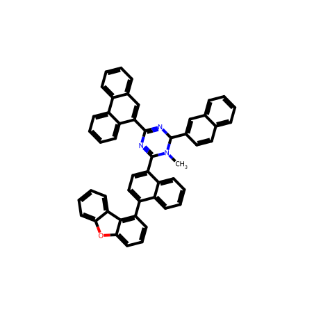 CN1C(c2ccc(-c3cccc4oc5ccccc5c34)c3ccccc23)=NC(c2cc3ccccc3c3ccccc23)=NC1c1ccc2ccccc2c1